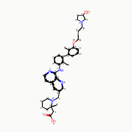 Cc1c(Nc2nccc3cc(CN4CCCCC4(C)CC(=O)O)cnc23)cccc1-c1cccc(OCCCN2CCC(O)C2)c1C